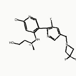 C[C@@H](CCO)Nc1cc(Cl)ncc1-c1ncc(CN2CC(F)(F)C2)cc1F